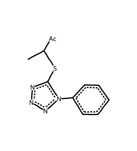 CC(=O)C(C)Sc1nnnn1-c1ccccc1